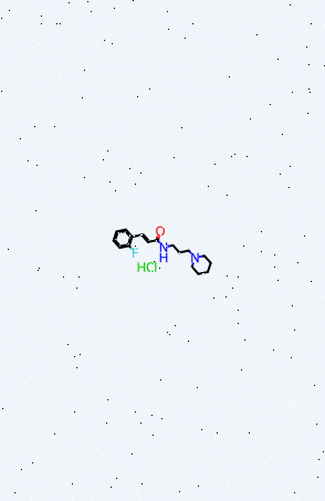 Cl.O=C(/C=C/c1ccccc1F)NCCCN1CCCCC1